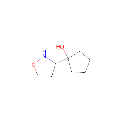 OC1([C@@H]2CCON2)CCCC1